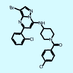 O=C(c1ccc(Cl)cc1)N1CCC(Nc2cc(-c3ccccc3Cl)nc3c(Br)cnn23)CC1